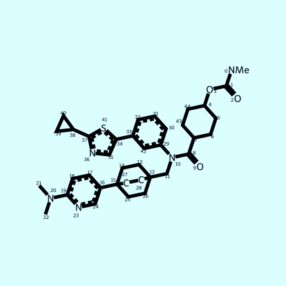 CNC(=O)OC1CCC(C(=O)N(CC23CCC(c4ccc(N(C)C)nc4)(CC2)CC3)c2cccc(-c3cnc(C4CC4)s3)c2)CC1